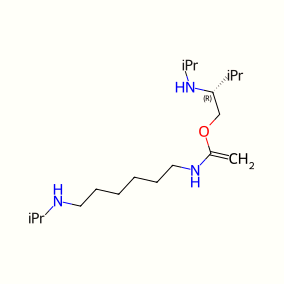 C=C(NCCCCCCNC(C)C)OC[C@H](NC(C)C)C(C)C